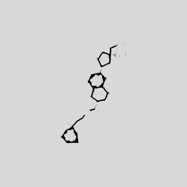 N[C@]1(CO)CC[C@H](c2ccc3c(c2)CC[C@@H](CSCCc2ccccc2)C3)C1